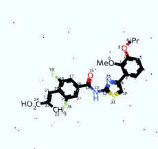 COc1c(OC(C)C)cccc1-c1csc(NC(=O)c2cc(F)c(/C=C(\C)C(=O)O)c(F)c2)n1